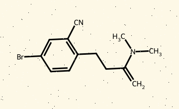 C=C(CCc1ccc(Br)cc1C#N)N(C)C